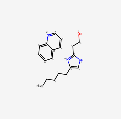 CCCCCCCCCCCCCCc1c[nH]c(CCO)n1.c1ccc2ncccc2c1